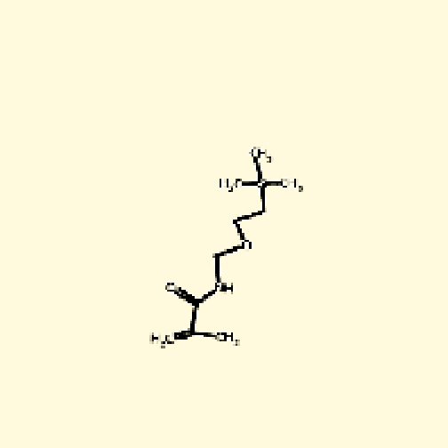 C=C(C)C(=O)NCOCC[Si](C)(C)C